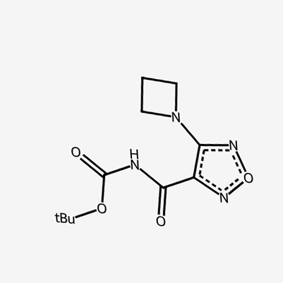 CC(C)(C)OC(=O)NC(=O)c1nonc1N1CCC1